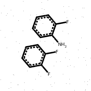 Fc1ccccc1F.Nc1ccccc1F